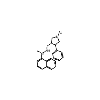 CC(=O)N1CC(CN[C@H](C)c2cccc3ccccc23)C(c2ccccc2)C1